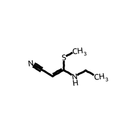 CCN/C(=C/C#N)SC